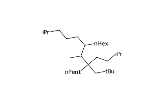 CCCCCCC(CCCC(C)C)[C](C)C(CCCCC)(CCC(C)C)CC(C)(C)C